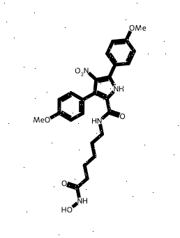 COc1ccc(-c2[nH]c(C(=O)NCCCCCC(=O)NO)c(-c3ccc(OC)cc3)c2[N+](=O)[O-])cc1